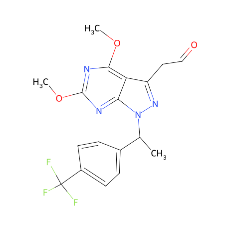 COc1nc(OC)c2c(CC=O)nn(C(C)c3ccc(C(F)(F)F)cc3)c2n1